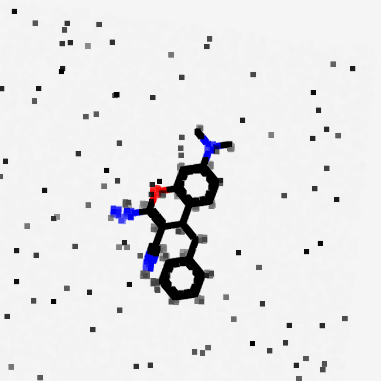 CN(C)c1ccc2c(c1)OC(N)=C(C#N)C2Cc1ccccc1